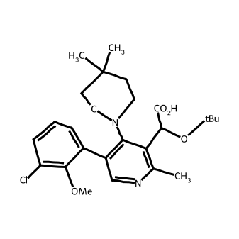 COc1c(Cl)cccc1-c1cnc(C)c(C(OC(C)(C)C)C(=O)O)c1N1CCC(C)(C)CC1